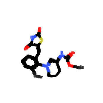 COc1cccc(C=C2SC(=O)NC2=O)c1N1CCCC(NC(=O)OC(C)(C)C)C1